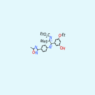 CCOC(=O)/N=C(SC)/C(=N\c1ccc(-c2noc(C)n2)cc1)c1cc(O)cc(OCC)c1